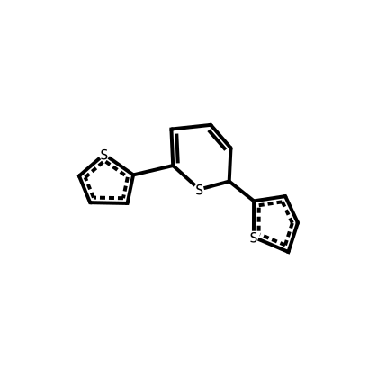 C1=CC(c2cccs2)SC(c2cccs2)=C1